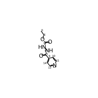 CCOC(=O)NNC(=O)c1ccncc1